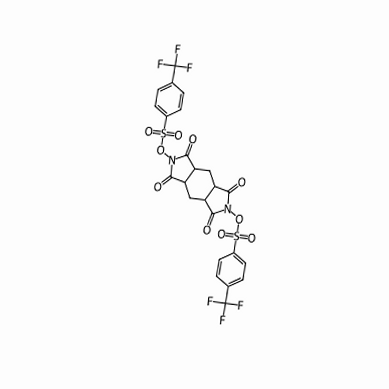 O=C1C2CC3C(=O)N(OS(=O)(=O)c4ccc(C(F)(F)F)cc4)C(=O)C3CC2C(=O)N1OS(=O)(=O)c1ccc(C(F)(F)F)cc1